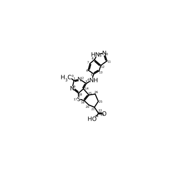 Cc1nc(Nc2ccc3[nH]ncc3c2)c2c3c(sc2n1)CC(C(=O)O)CC3